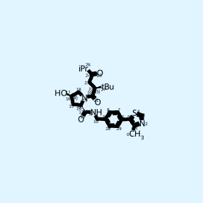 Cc1ncsc1-c1ccc(CNC(=O)[C@@H]2C[C@@H](O)CN2C(=O)[C@@H](CC(=O)C(C)C)C(C)(C)C)cc1